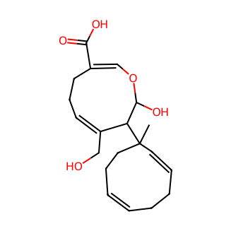 CC1(C2C(CO)=CCCC(C(=O)O)=COC2O)C=CCCC=CCC1